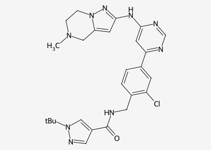 CN1CCn2nc(Nc3cc(-c4ccc(CNC(=O)c5cnn(C(C)(C)C)c5)c(Cl)c4)ncn3)cc2C1